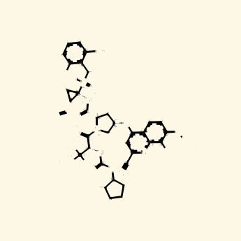 C=C[C@@H]1C[C@]1(NC(=O)[C@@H]1C[C@@H](Oc2cc(C#N)nc3c(Cl)c(OC)ccc23)CN1C(=O)[C@@H](NC(=O)OC1CCCC1)C(C)(C)C)P(=O)(O)Cc1c(F)cccc1F